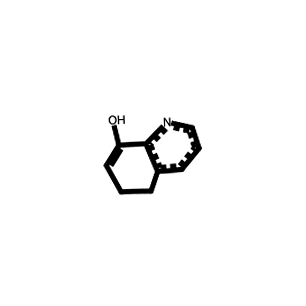 OC1=CCCc2cccnc21